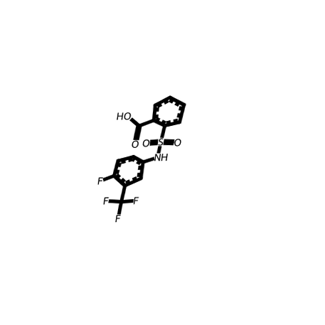 O=C(O)c1ccccc1S(=O)(=O)Nc1ccc(F)c(C(F)(F)F)c1